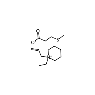 C=CC[N+]1(CC)CCCCC1.CSCCC(=O)[O-]